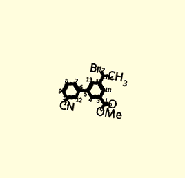 COC(=O)c1cc(-c2cccc(C#N)c2)cc(C(C)Br)c1